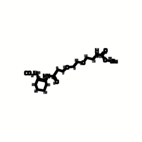 CCOC(=O)C1=C(NC(=O)CCOCCOCCNC(=O)OC(C)(C)C)CCCC1